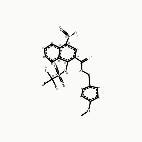 COc1ccc(COC(=O)c2cc([N+](=O)[O-])c3ccccc3c2OS(=O)(=O)C(F)(F)F)cc1